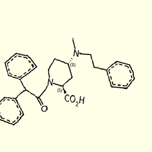 CN(CCc1ccccc1)[C@H]1CCN(C(=O)C(c2ccccc2)c2ccccc2)[C@H](C(=O)O)C1